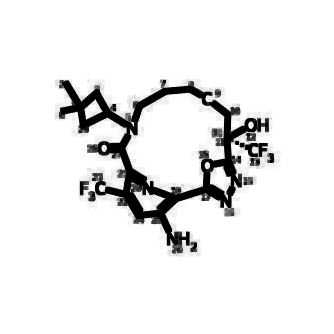 CC1(C)CC(N2CCCCC[C@](O)(C(F)(F)F)c3nnc(o3)-c3nc(c(C(F)(F)F)cc3N)C2=O)C1